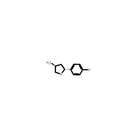 C[C@@H]1CO[C@@H](c2ccc(Cl)cc2)C1